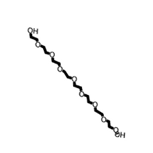 OCCOCCOCCOCCOCCOCCOCCOCCOO